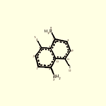 Bc1ccc(I)c2c(B)ccc(I)c12